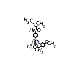 CCCCC(CC)C(=O)Nc1ccc(C(=O)/C=C2\NC(C)(C)Cc3ccc(OC)cc32)cc1